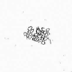 CC(C)(c1ccccc1)n1c2ccccc2c2c1c1c3ccccc3n(C(C)(C)c3cc4c5c(c3)Oc3ccccc3B5c3ccccc3O4)c1c1c3ccccc3n(C(C)(C)c3ccccc3)c21